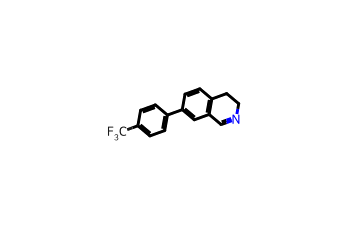 FC(F)(F)c1ccc(-c2ccc3c(c2)C=NCC3)cc1